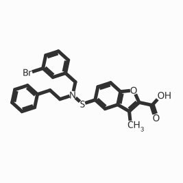 Cc1c(C(=O)O)oc2ccc(SN(CCc3ccccc3)Cc3cccc(Br)c3)cc12